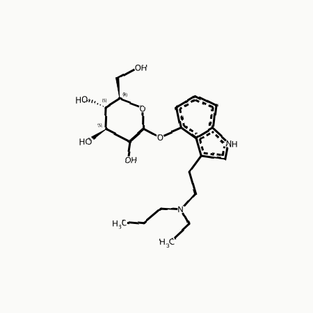 CCCN(CC)CCc1c[nH]c2cccc(OC3O[C@H](CO)[C@@H](O)[C@H](O)C3O)c12